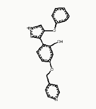 Oc1cc(OCc2ccncc2)ccc1-c1n[nH]cc1Oc1ccccc1